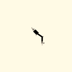 N#C[CH2][Ru]